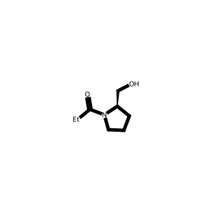 CCC(=O)N1CCC[C@@H]1CO